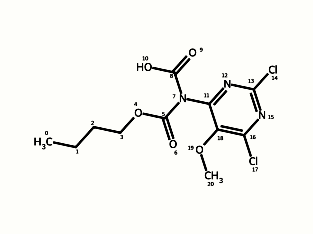 CCCCOC(=O)N(C(=O)O)c1nc(Cl)nc(Cl)c1OC